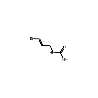 CC/C=C/CNC([NH])=O